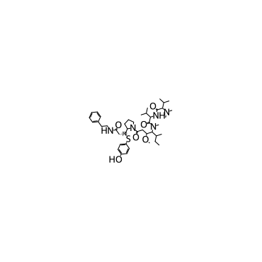 CCC(C)C(C(CC(=O)N1CCCC1[C@@H](CC(=O)NCCc1ccccc1)Sc1ccc(O)cc1)OC)N(C)C(=O)C(NC(=O)C(C(C)C)N(C)C)C(C)C